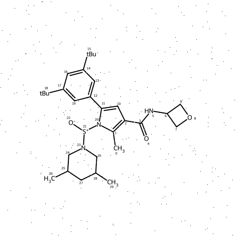 Cc1c(C(=O)NC2COC2)cc(-c2cc(C(C)(C)C)cc(C(C)(C)C)c2)n1[S+]([O-])N1CC(C)CC(C)C1